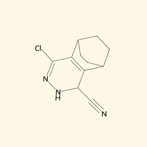 N#CC1NN=C(Cl)C2=C1C1CCC2CC1